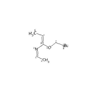 C/C=N\C(=C/C)OCC(C)CC